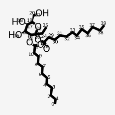 CCCCCCCCCCCC(=O)O[C@@H]1[C@@H](O)[C@H](O)[C@@H](CO)OC1(CC)OC(=O)CCCCCCCCCCC